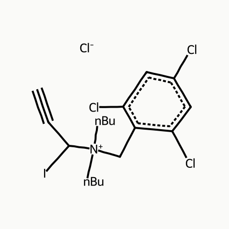 C#CC(I)[N+](CCCC)(CCCC)Cc1c(Cl)cc(Cl)cc1Cl.[Cl-]